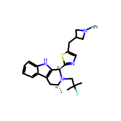 CCCN1CC(Cc2cnc([C@@H]3c4[nH]c5ccccc5c4C[C@@H](C)N3CC(C)(C)F)s2)C1